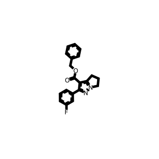 O=C(OCc1ccccc1)c1c(-c2cccc(F)c2)nn2c1CCC2